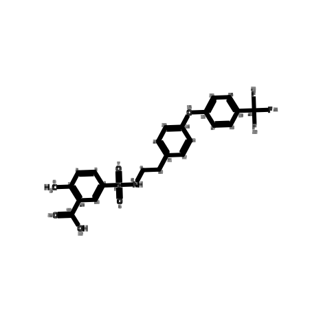 Cc1ccc(S(=O)(=O)NCCc2ccc(Oc3ccc(C(F)(F)F)cc3)cc2)cc1C(=O)O